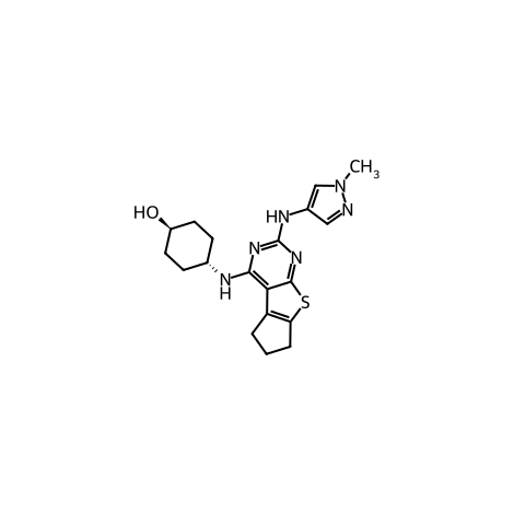 Cn1cc(Nc2nc(N[C@H]3CC[C@H](O)CC3)c3c4c(sc3n2)CCC4)cn1